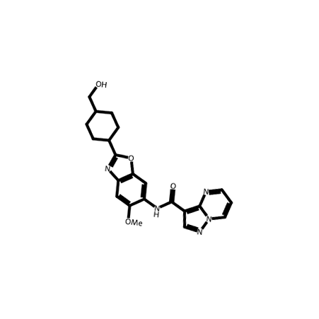 COc1cc2nc(C3CCC(CO)CC3)oc2cc1NC(=O)c1cnn2cccnc12